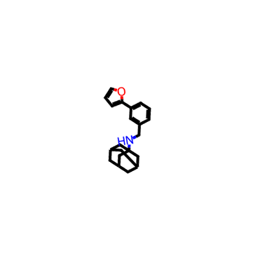 c1cc(CNC23CC4CC(CC(C4)C2)C3)cc(-c2ccco2)c1